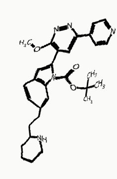 COc1nnc(-c2ccncc2)cc1-c1cc2ccc(CCC3CCCCN3)cc2n1C(=O)OC(C)(C)C